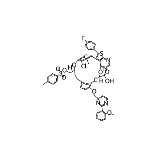 COc1ccccc1-c1nccc(COc2ccc3cc2C[C@H](C(=O)O)Oc2ncnc4sc(-c5ccc(F)cc5)c(c24)-c2ccc(c(Cl)c2C)O[C@H](COS(=O)(=O)c2ccc(C)cc2)CC3)n1